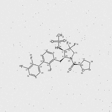 CS(=O)(=O)N[C@@H]1[C@H](Cc2cccc(-c3cccc(F)c3F)c2F)N(C(=O)[C@H]2CCCO2)CC1(F)F